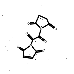 O=C1C=CC(=O)N1C(=O)C(=O)N1C(=O)CCC1=O